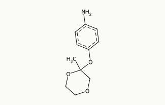 CC1(Oc2ccc(N)cc2)COCCO1